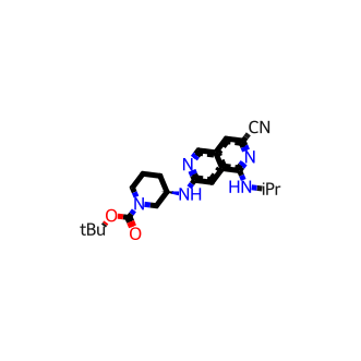 CC(C)Nc1nc(C#N)cc2cnc(N[C@@H]3CCCN(C(=O)OC(C)(C)C)C3)cc12